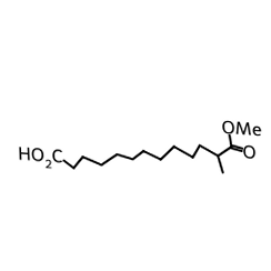 COC(=O)C(C)CCCCCCCCCCC(=O)O